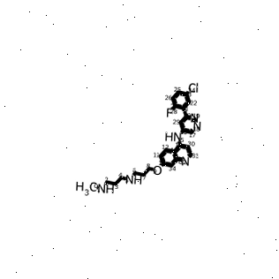 CNCCCNCCCOc1ccc2c(Nc3cnnc(-c4cc(Cl)ccc4F)c3)ccnc2c1